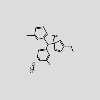 CCC1=C[C]([Ti+3])(C(c2cccc(C)c2)c2cccc(C)c2)C=C1.[Cl-].[Cl-].[Cl-]